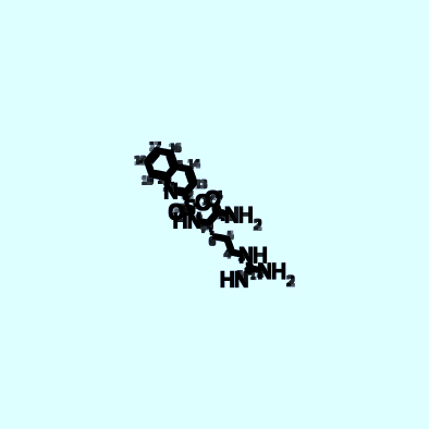 N=C(N)NCCC[C@H](NS(=O)(=O)c1ccc2ccccc2n1)C(N)=O